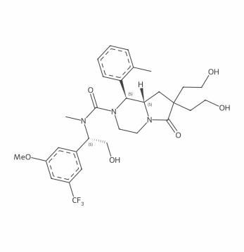 COc1cc([C@@H](CO)N(C)C(=O)N2CCN3C(=O)C(CCO)(CCO)C[C@H]3[C@@H]2c2ccccc2C)cc(C(F)(F)F)c1